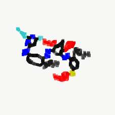 O=S(=O)(O)c1ccc(Nc2cc(F)nc(F)n2)cc1/N=N/c1cc(/N=N/c2cc(SOOO)ccc2S(=O)(=O)O)c(O)cc1O